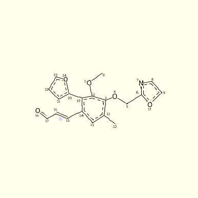 COc1c(OCc2ncco2)c(C)cc(/C=C/C=O)c1-c1ccco1